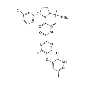 Cc1cc(Oc2cnc(C(=O)N[C@H](C)C(=O)N3C(C(C)(C)C#N)CC[C@H]3c3cccc(Cl)c3)nc2C)c(=O)[nH]n1